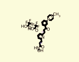 CN1CCN(c2cccc(C(=O)/C=C/c3cccc(/C=C/C(=O)NO)n3)c2)CC1.O=C(O)C(F)(F)F.O=C(O)C(F)(F)F